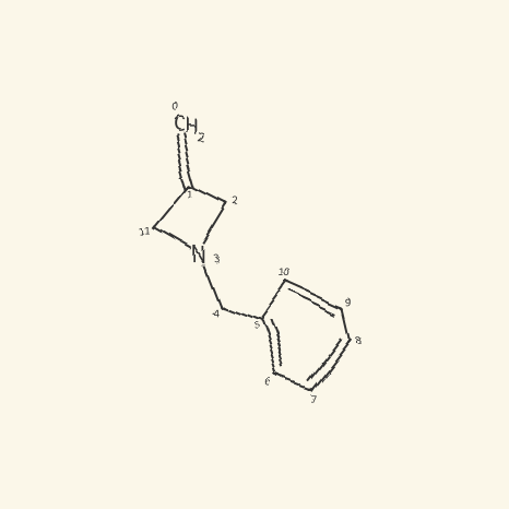 C=C1CN(Cc2ccccc2)C1